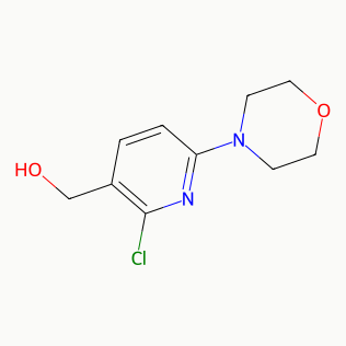 OCc1ccc(N2CCOCC2)nc1Cl